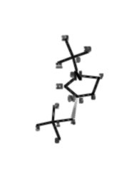 CC(C)(C)C[C@H]1CCN(C(C)(C)C)C1